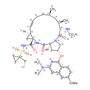 COc1ccc2c(O[C@@H]3C[C@H]4C(=O)N[C@]5(C(=O)NS(=O)(=O)C6(CF)CC6)C[C@H]5C=CCC[C@@H](C)C[C@@H](C)[C@H](NC(=O)O)C(=O)N4C3)nc(N(C)C)cc2c1